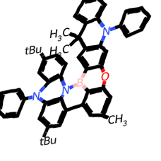 Cc1cc2c3c(c1)-c1cc(C(C)(C)C)cc4c1N(B3c1cc3c(cc1O2)N(c1ccccc1)c1ccccc1C3(C)C)c1ccc(C(C)(C)C)cc1N4c1ccccc1